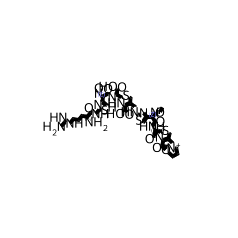 CO/N=C(\C(=O)NC(C(=O)O)C1NC(C(=O)O)=C(CNc2nc(/C(=N/OC)C(=O)N[C@@H]3C(=O)N4C(C(=O)[O-])=C(C[N+]5(C)CCCC5)CS[C@H]34)cs2)CS1)c1csc(NC(=O)[C@H](N)CCCNC(=N)N)n1